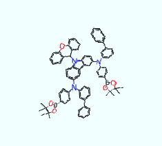 CC1(C)OB(c2ccc(N(c3cccc(-c4ccccc4)c3)c3ccc4c(c3)c3cc(N(c5ccc(B6OC(C)(C)C(C)(C)O6)cc5)c5cccc(-c6ccccc6)c5)ccc3n4C3c4ccccc4Oc4ccccc43)cc2)OC1(C)C